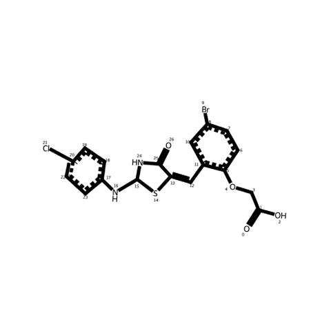 O=C(O)COc1ccc(Br)cc1/C=C1/SC(Nc2ccc(Cl)cc2)NC1=O